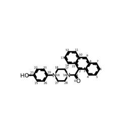 O=C(c1c2ccccc2cc2ccccc12)N1CCN(c2ccc(O)cc2)CC1